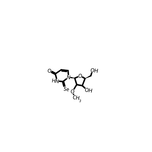 COC1C(O)[C@H](CO)O[C@@H]1n1ccc(=O)[nH]c1=[Se]